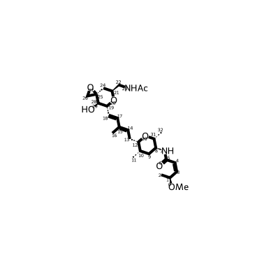 CO[C@@H](C)/C=C\C(=O)N[C@@H]1C[C@H](C)[C@H](C/C=C(C)/C=C/[C@H]2O[C@H](CNC(C)=O)C[C@@]3(CO3)[C@@H]2O)O[C@@H]1C